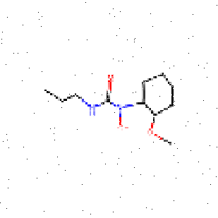 CCCNC(=O)N(O)C1CCCCC1OC